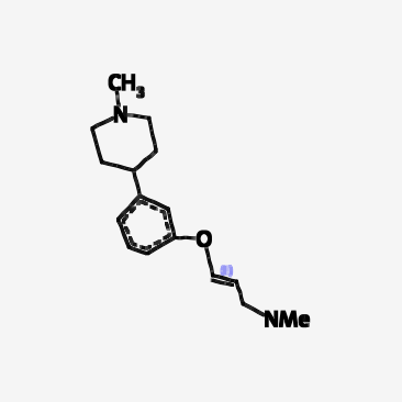 CNC/C=C/Oc1cccc(C2CCN(C)CC2)c1